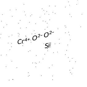 [Cr+4].[O-2].[O-2].[Si]